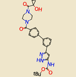 CC(C)(C)OC(=O)Nc1cc(-c2cccc(-c3ccc(C(=O)N4CCN(C(=O)C5(O)CC5)CC4)cc3)c2)n[nH]1